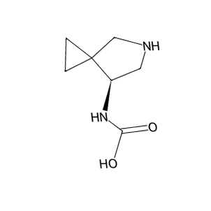 O=C(O)N[C@@H]1CNCC12CC2